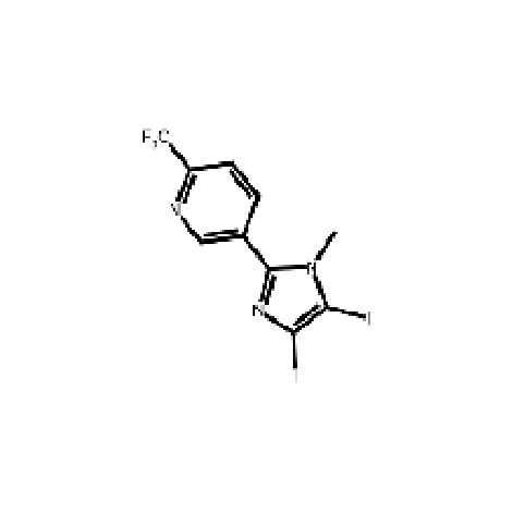 Cn1c(-c2ccc(C(F)(F)F)nc2)nc(I)c1I